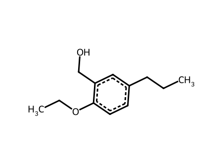 CCCc1ccc(OCC)c(CO)c1